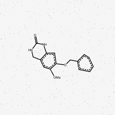 COc1cc2c(cc1OCc1ccccc1)NC(=O)NC2